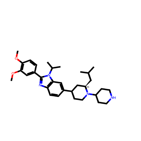 COc1ccc(-c2nc3ccc(C4CCN(C5CCNCC5)[C@H](CC(C)C)C4)cc3n2C(C)C)cc1OC